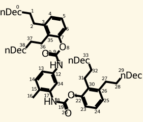 CCCCCCCCCCCCc1cccc(OC(=O)Nc2ccc(C)c(NC(=O)Oc3cccc(CCCCCCCCCCCC)c3CCCCCCCCCCCC)c2)c1CCCCCCCCCCCC